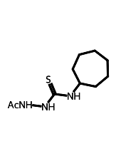 CC(=O)NNC(=S)NC1CCCCCC1